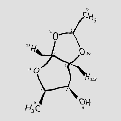 CC1O[C@H]2O[C@H](C)[C@H](O)[C@H]2O1